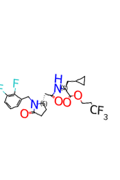 O=C(C[C@@H]1CCC(=O)N1Cc1cccc(F)c1F)N[C@@H](CC1CC1)C(=O)OCCC(F)(F)F